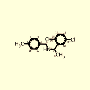 Cc1ccc(CNC(C)c2cc(Cl)ccc2Cl)cc1